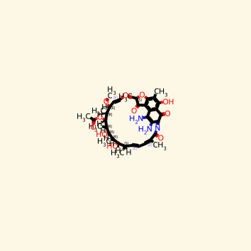 CO[C@H]1/C=C/O[C@@]2(C)Oc3c(C)c(O)c4c(c3C2=O)C(N)=C(N)C(=NC(=O)/C(C)=C\C=C\[C@H](C)[C@H](O)[C@@H](C)[C@@H](O)[C@@H](C)[C@H](OC(C)=O)[C@@H]1C)C4=O